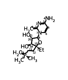 C=C1N=C(N)C=CN1C1O[C@](CC)(CCP(=C)(C)C)[C@@H](O)[C@H]1O